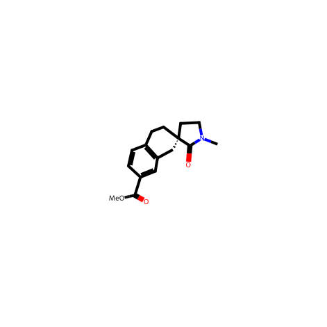 COC(=O)c1ccc2c(c1)C[C@]1(CC2)CCN(C)C1=O